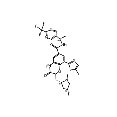 Cc1cnc(-c2cc(C(=O)N[C@H](C)c3cnc(C(F)(F)F)nc3)cc3c2OC(C[C@H]2C[C@@H](F)CN2C)C(=O)N3)s1